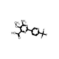 COc1c(N)nc(-c2ccc(C(F)(F)F)nc2)nc1C(=O)O